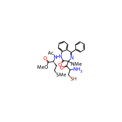 CNC1(C(=O)C(N)CS)N=C(c2ccccc2)c2ccccc2N(N(C(C)=O)[C@@H](CCSC)C(=O)OC)C1=O